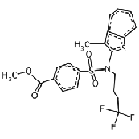 COC(=O)c1ccc(S(=O)(=O)N(CCCC(F)(F)F)c2sc3ccccc3c2C)cc1